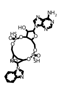 Nc1ncnc2c1ncn2C1OC2COP(=O)(S)OC3C(O)C(COP(=O)(S)OC2C1O)OC3n1cnc2ccccc21